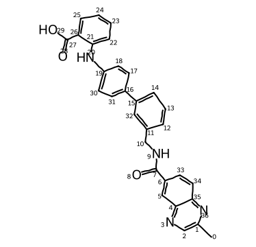 Cc1cnc2cc(C(=O)NCc3cccc(-c4ccc(Nc5ccccc5C(=O)O)cc4)c3)ccc2n1